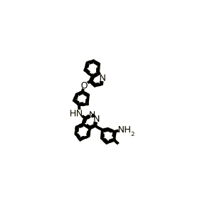 Cc1ccc(-c2nnc(Nc3ccc(Oc4ccnc5ccccc45)cc3)c3ccccc23)cc1N